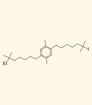 CCC(C)(C)CCCCCc1cc(C)c(CCCCCC(C)(C)I)cc1C